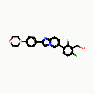 OCc1c(F)ccc(-c2ccc3nc(-c4ccc(N5CCOCC5)cc4)cn3c2)c1F